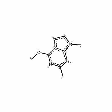 COc1nc(C)nc2c1ncn2C